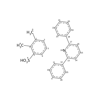 Cc1cccc(S(=O)(=O)O)c1C.c1ccc(-c2cccc(-c3ccccc3)n2)cc1